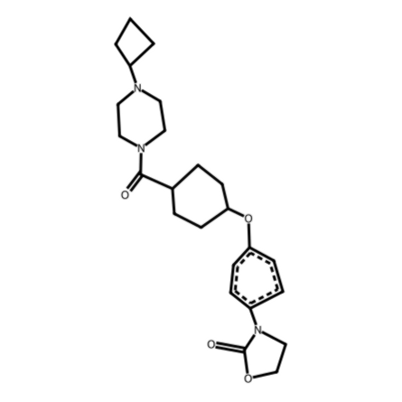 O=C(C1CCC(Oc2ccc(N3CCOC3=O)cc2)CC1)N1CCN(C2CCC2)CC1